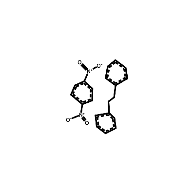 O=[N+]([O-])c1ccc([N+](=O)[O-])cc1.c1ccc(CCc2ccccc2)cc1